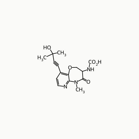 CN1C(=O)C(NC(=O)O)COc2c(C#CC(C)(C)O)ccnc21